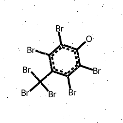 [O]c1c(Br)c(Br)c(C(Br)(Br)Br)c(Br)c1Br